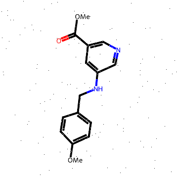 COC(=O)c1cncc(NCc2ccc(OC)cc2)c1